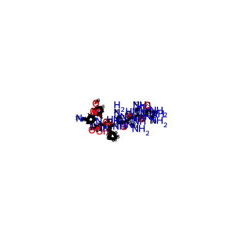 COc1ccc(CN(c2c([N+](=O)[O-])cc(C#N)cc2[N+](=O)[O-])C(CO)C(=O)NC(C(=O)NC(NC(=N)N)C(=O)NC(NC(=N)N)C(=O)NC(NC(=N)N)C(=O)NC(NC(=N)N)C(N)=O)c2ccccc2)cc1